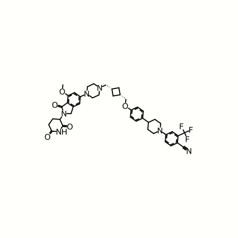 COc1cc(N2CCN(C[C@H]3C[C@@H](COc4ccc(C5CCN(c6ccc(C#N)c(C(F)(F)F)c6)CC5)cc4)C3)CC2)cc2c1C(=O)N(C1CCC(=O)NC1=O)C2